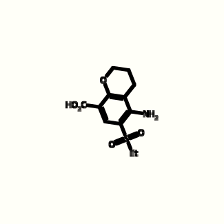 CCS(=O)(=O)c1cc(C(=O)O)c2c(c1N)CCCO2